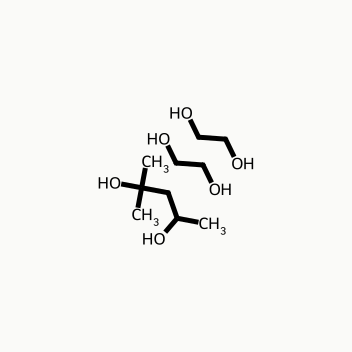 CC(O)CC(C)(C)O.OCCO.OCCO